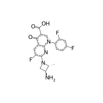 C[C@@H]1[C@@H](N)CN1c1nc2c(cc1F)c(=O)c(C(=O)O)cn2-c1ccc(F)cc1F